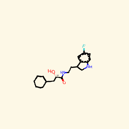 O=C(NCCC1CNc2ccc(F)cc21)[C@@H](O)CC1CCCCC1